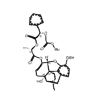 COc1ccc2c3c1O[C@H]1C(OC(=O)[C@H](C)OC(=O)[C@@H](OC(=O)OC(C)(C)C)c4ccccc4)=CC[C@]4(O)C(C2)N(C)CC[C@]314